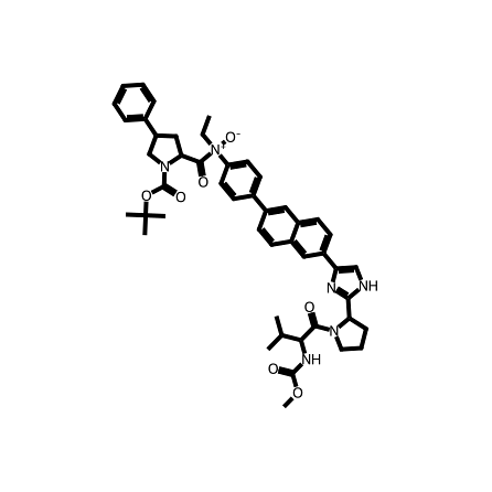 CC[N+]([O-])(C(=O)C1CC(c2ccccc2)CN1C(=O)OC(C)(C)C)c1ccc(-c2ccc3cc(-c4c[nH]c(C5CCCN5C(=O)C(NC(=O)OC)C(C)C)n4)ccc3c2)cc1